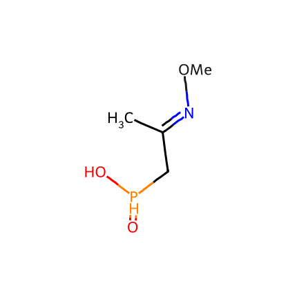 CO/N=C(\C)C[PH](=O)O